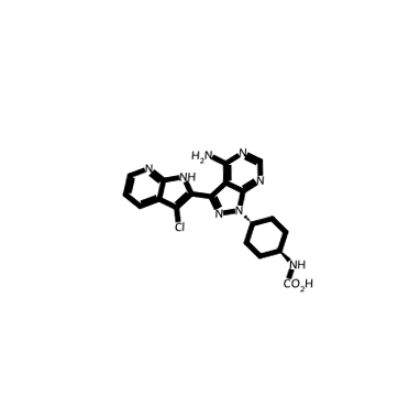 Nc1ncnc2c1c(-c1[nH]c3ncccc3c1Cl)nn2[C@H]1CC[C@H](NC(=O)O)CC1